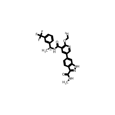 [2H]COc1ncc(-c2ccc3c(C(=O)NC)n[nH]c3c2)cc1C(=O)N[C@@H](C)c1cccc(C(F)(F)F)c1